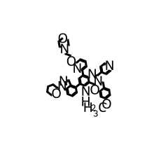 COc1ccc(Cn2c(-c3ccncc3)nc3c(-c4cccc(OCCN5CCOCC5)n4)cc(-c4cccc5c4cnn5C4CCCCO4)c(N)c3c2=O)cc1